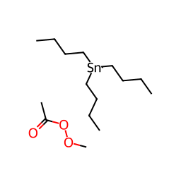 CCC[CH2][Sn]([CH2]CCC)[CH2]CCC.COOC(C)=O